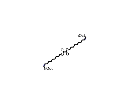 CCCCCCCC/C=C\CCCCCCCCOC(=O)C(=O)OCCCCCCCC/C=C\CCCCCCCC